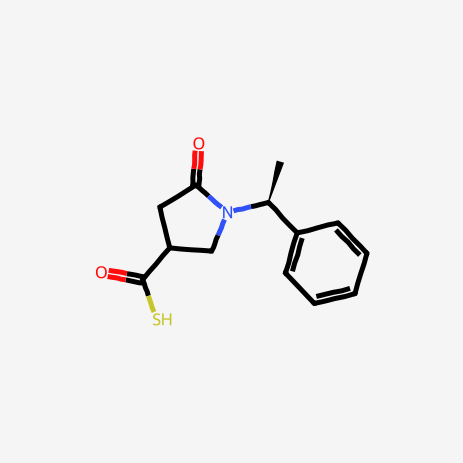 C[C@@H](c1ccccc1)N1CC(C(=O)S)CC1=O